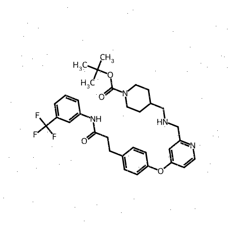 CC(C)(C)OC(=O)N1CCC(CNCc2cc(Oc3ccc(CCC(=O)Nc4cccc(C(F)(F)F)c4)cc3)ccn2)CC1